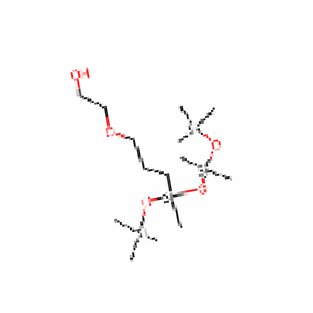 C[Si](C)(C)O[Si](C)(C)O[Si](C)(CCCOCCO)O[Si](C)(C)C